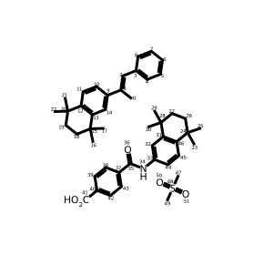 C/C(=C\c1ccccc1)c1ccc2c(c1)C(C)(C)CCC2(C)C.CC1(C)CCC(C)(C)c2cc(NC(=O)c3ccc(C(=O)O)cc3)ccc21.CS(C)(=O)=O